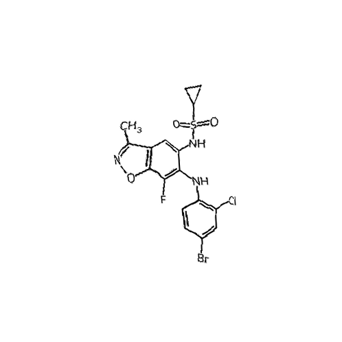 Cc1noc2c(F)c(Nc3ccc(Br)cc3Cl)c(NS(=O)(=O)C3CC3)cc12